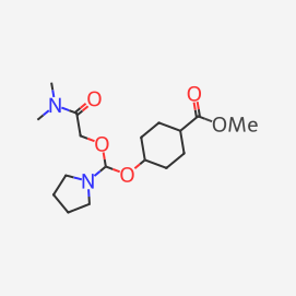 COC(=O)C1CCC(OC(OCC(=O)N(C)C)N2CCCC2)CC1